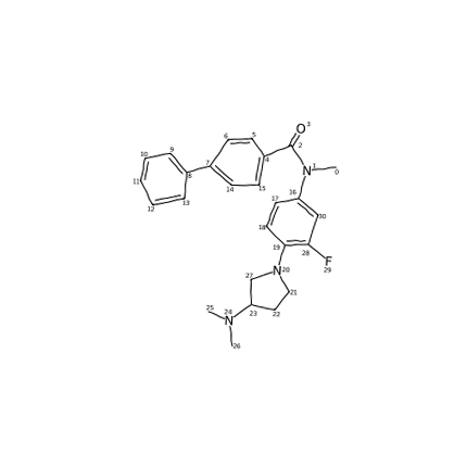 CN(C(=O)c1ccc(-c2ccccc2)cc1)c1ccc(N2CCC(N(C)C)C2)c(F)c1